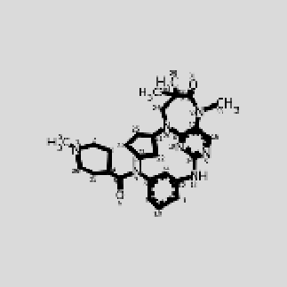 CN1CCC(C(=O)Nc2cccc(Nc3ncc4c(n3)N(C3CCCC3)CC(C)(C)C(=O)N4C)c2)CC1